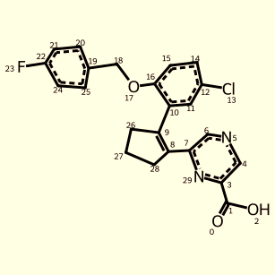 O=C(O)c1cncc(C2=C(c3cc(Cl)ccc3OCc3ccc(F)cc3)CCC2)n1